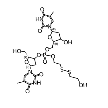 Cc1cn([C@H]2CC(O)[C@@H](COP(=O)(OCCSSCCO)OC3C[C@H](n4cc(C)c(=O)[nH]c4=O)O[C@@H]3CO)O2)c(=O)[nH]c1=O